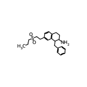 CCCS(=O)(=O)CCc1ccc2c(c1)C(Cc1ccccc1)C(N)CC2